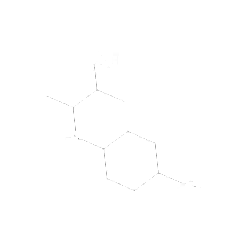 CC(NC1CCC(C(C)(C)C)CC1)C(C)S(=O)(=O)O